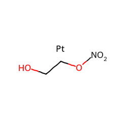 O=[N+]([O-])OCCO.[Pt]